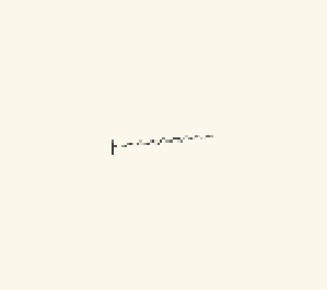 CCCC/C=C/C=C/CCCCCCCCCCI